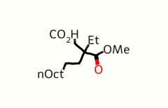 CCCCCCCCCCC(CC)(CC(=O)O)C(=O)OC